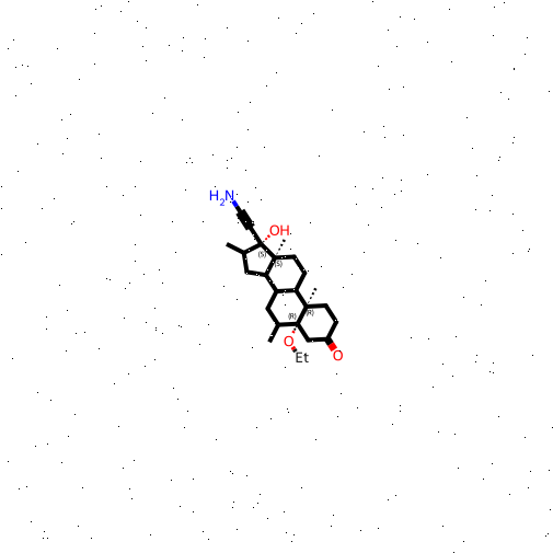 CCO[C@@]12CC(=O)CC[C@]1(C)C1CC[C@@]3(C)C(CC(C)[C@@]3(O)C#CN)C1CC2C